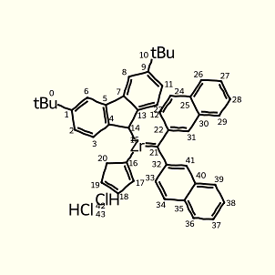 CC(C)(C)c1ccc2c(c1)-c1cc(C(C)(C)C)ccc1[CH]2[Zr]([C]1=CC=CC1)=[C](c1ccc2ccccc2c1)c1ccc2ccccc2c1.Cl.Cl